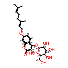 CC(C)=CCC/C(C)=C/COc1ccc2c(O[C@@H]3O[C@H](CO)[C@H](O)[C@H](O)[C@H]3O)c(O)c(=O)oc2c1